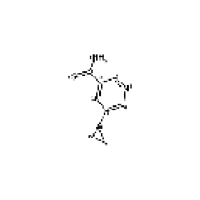 NC(=S)c1cncc(C2CC2)c1